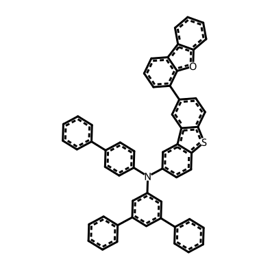 c1ccc(-c2ccc(N(c3cc(-c4ccccc4)cc(-c4ccccc4)c3)c3ccc4sc5ccc(-c6cccc7c6oc6ccccc67)cc5c4c3)cc2)cc1